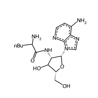 CCCCC(N)C(=O)N[C@H]1C(O)[C@@H](CO)O[C@H]1n1cnc2c(N)ccnc21